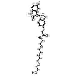 O=C(CCc1ccc2c(c1)CO/C2=C1/C(=O)Nc2ccc(F)cc21)NCCOCCOCCOCCO